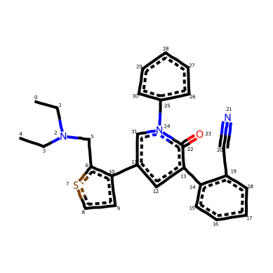 CCN(CC)Cc1sccc1-c1cc(-c2ccccc2C#N)c(=O)n(-c2ccccc2)c1